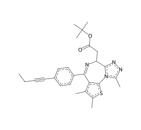 CCC#Cc1ccc(C2=NC(CC(=O)OC(C)(C)C)c3nnc(C)n3-c3sc(C)c(C)c32)cc1